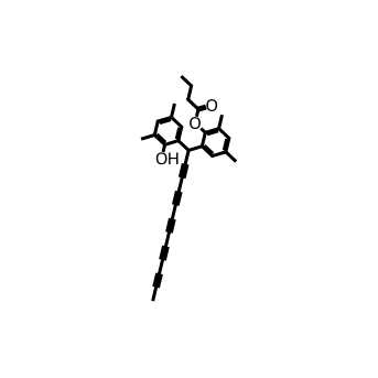 CC#CC#CC#CC#CC#CC(c1cc(C)cc(C)c1O)c1cc(C)cc(C)c1OC(=O)CCC